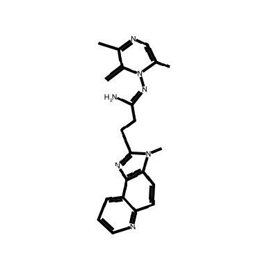 C=C1C(C)=NC=C(C)N1/N=C(\N)CCc1nc2c3cccnc3ccc2n1C